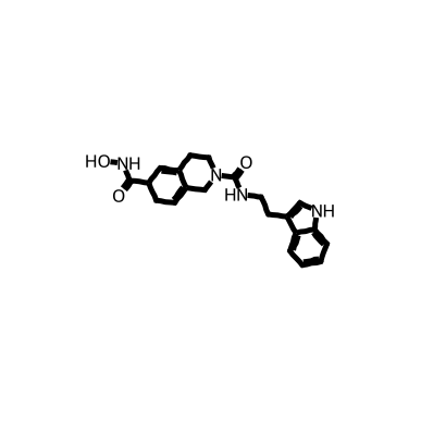 O=C(NO)C1C=C2CCN(C(=O)NCCc3c[nH]c4ccccc34)CC2=CC1